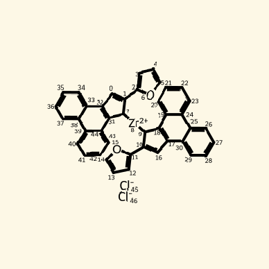 C1=C(c2ccco2)[CH]([Zr+2][CH]2C(c3ccco3)=Cc3c2c2ccccc2c2ccccc32)c2c1c1ccccc1c1ccccc21.[Cl-].[Cl-]